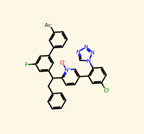 CC(=O)c1cccc(-c2cc(F)cc(C(Cc3ccccc3)c3ccc(-c4cc(Cl)ccc4-n4cnnn4)c[n+]3[O-])c2)c1